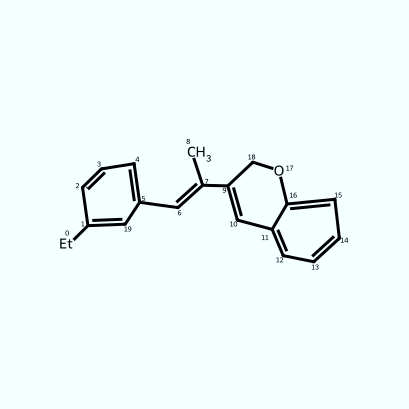 CCc1[c]ccc(C=C(C)C2=Cc3ccccc3OC2)c1